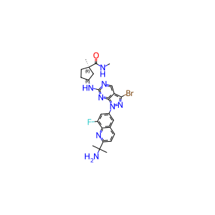 CNC(=O)[C@]1(C)CC[C@@H](Nc2ncc3c(Br)nn(-c4cc(F)c5nc(C(C)(C)N)ccc5c4)c3n2)C1